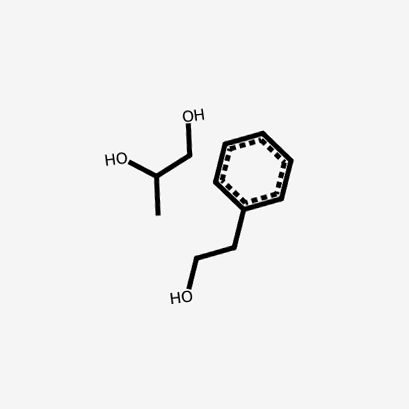 CC(O)CO.OCCc1ccccc1